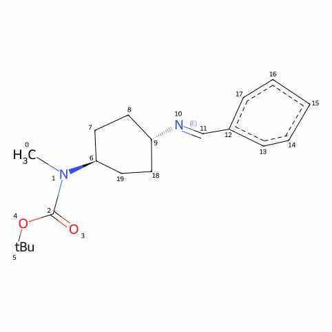 CN(C(=O)OC(C)(C)C)[C@H]1CC[C@H](/N=C/c2ccccc2)CC1